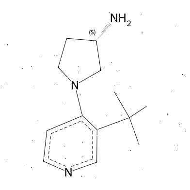 CC(C)(C)c1cnccc1N1CC[C@H](N)C1